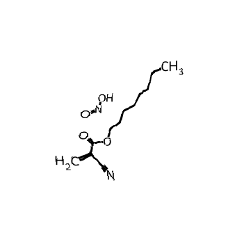 C=C(C#N)C(=O)OCCCCCCCC.O=NO